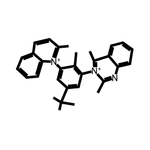 Cc1c(-[n+]2c(C)nc3ccccc3c2C)cc(C(C)(C)C)cc1-[n+]1c(C)ccc2ccccc21